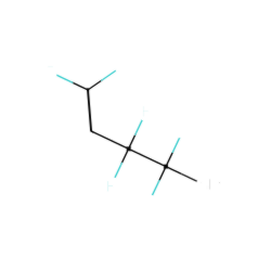 [CH2]CCC(F)(F)C(F)(F)CC(F)F